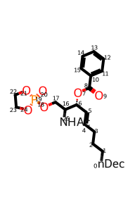 CCCCCCCCCCCCC/C=C/[C@@H](OC(=O)c1ccccc1)C(COP1(=O)OCCO1)NC(C)=O